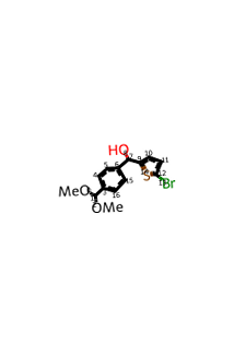 COC(OC)c1ccc(C(O)c2ccc(Br)s2)cc1